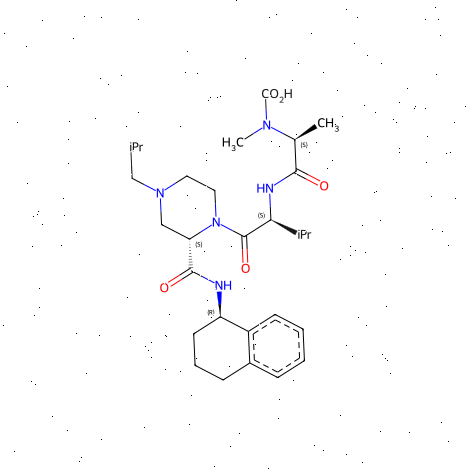 CC(C)CN1CCN(C(=O)[C@@H](NC(=O)[C@H](C)N(C)C(=O)O)C(C)C)[C@H](C(=O)N[C@@H]2CCCc3ccccc32)C1